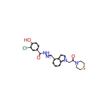 O=C(N/N=C/c1cccc2c1ccn2CC(=O)N1CCSCC1)c1ccc(O)c(Cl)c1